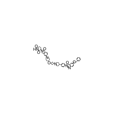 O=C1CCC(N2Cc3cc(N4CCC(OC5CC(N6CCC(c7ccc(-n8cnc9ccc(OCc%10ccccc%10)cc9c8=O)cc7)CC6)C5)CC4)ccc3C2=O)C(=O)N1